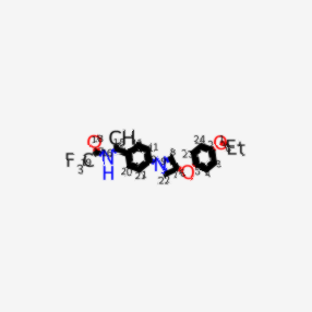 CCOc1ccc(OC2CN(c3ccc(C(C)NC(=O)C(F)(F)F)cc3)C2)cc1